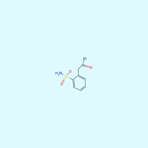 CCC(=O)Cc1ccccc1S(N)(=O)=O